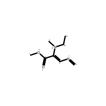 C=N/C=C(/C(=O)OC)N(C)CC